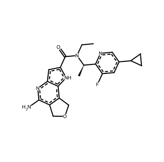 CCN(C(=O)c1cc2nc(N)c3c(c2[nH]1)COC3)[C@H](C)c1ncc(C2CC2)cc1F